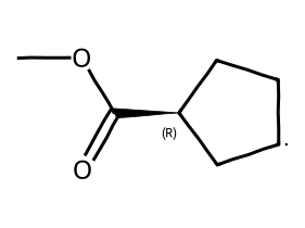 COC(=O)[C@@H]1C[CH]CC1